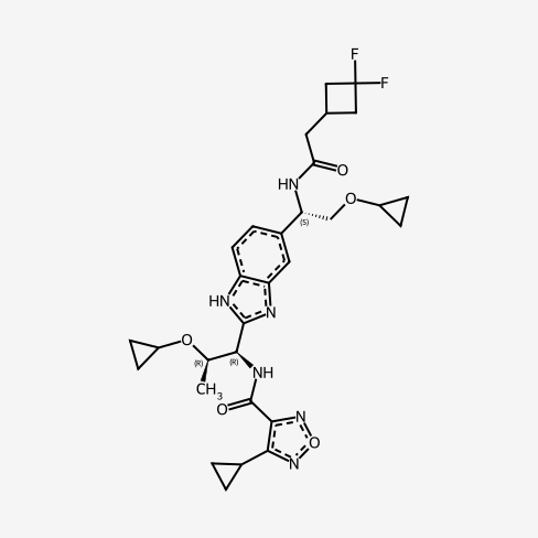 C[C@@H](OC1CC1)[C@H](NC(=O)c1nonc1C1CC1)c1nc2cc([C@@H](COC3CC3)NC(=O)CC3CC(F)(F)C3)ccc2[nH]1